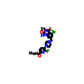 CCn1c(=O)[nH]c2cc(CN3CCN(c4ccc(C(=O)NC)nc4F)CC3)cc(Br)c2c1=S